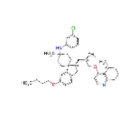 C[C@@H](COc1ccnc2c1[C@H](C)CCC2)C[C@H]1Cc2ccc(OCCCC(=O)O)cc2C12CCC(Nc1cccc(Cl)c1)(C(=O)O)CC2